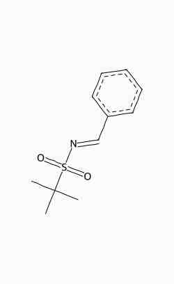 CC(C)(C)S(=O)(=O)/N=C/c1ccccc1